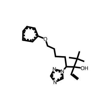 C=CC(O)(C(CCCCOc1ccccc1)n1cncn1)C(C)(C)C